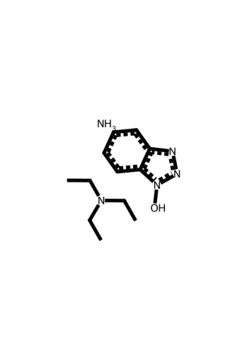 CCN(CC)CC.N.On1nnc2ccccc21